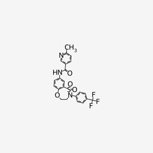 Cc1ccc(C(=O)Nc2ccc3c(c2)S(=O)(=O)N(c2ccc(C(F)(F)F)cc2)CCO3)cn1